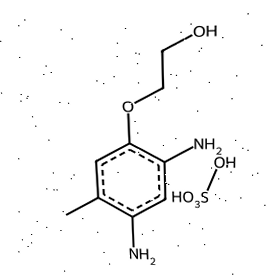 Cc1cc(OCCO)c(N)cc1N.O=S(=O)(O)O